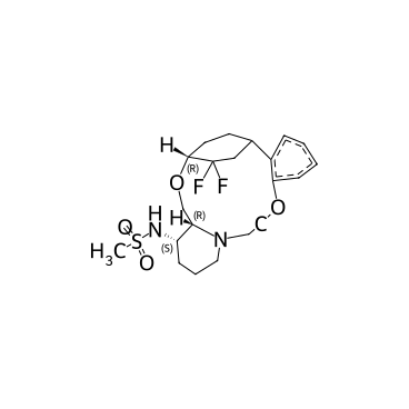 CS(=O)(=O)N[C@H]1CCCN2CCOc3ccccc3C3CC[C@@H](OC[C@@H]12)C(F)(F)C3